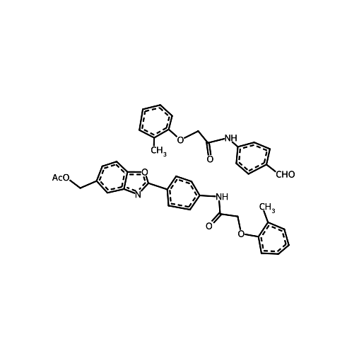 CC(=O)OCc1ccc2oc(-c3ccc(NC(=O)COc4ccccc4C)cc3)nc2c1.Cc1ccccc1OCC(=O)Nc1ccc(C=O)cc1